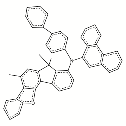 Cc1cc2c(c3oc4ccccc4c13)-c1cccc(N(c3ccc(-c4ccccc4)cc3)c3cc4ccccc4c4ccccc34)c1C2(C)C